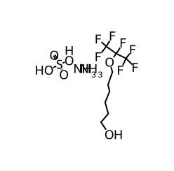 N.N.O=S(=O)(O)O.OCCCCCCOC(F)(C(F)(F)F)C(F)(F)F